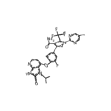 Cc1cnc(-n2nc(-c3ccc(Oc4ccnc5[nH]c(=O)n(C(C)C)c45)c(F)c3)c(C(N)=O)c2C(F)(F)F)nc1